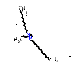 CCCCCCCCCCCCCCN1C=CN(CCCCCCCCCCCC)C1CCC